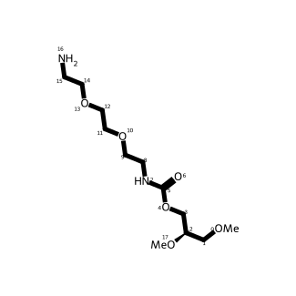 COC[C@H](COC(=O)NCCOCCOCCN)OC